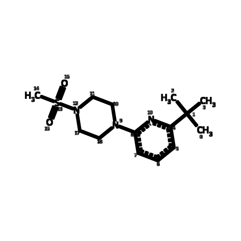 CC(C)(C)c1cccc(N2CCN(S(C)(=O)=O)CC2)n1